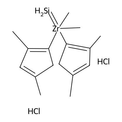 CC1=CC(C)=[C]([Zr]([CH3])([CH3])(=[SiH2])[C]2=C(C)C=C(C)C2)C1.Cl.Cl